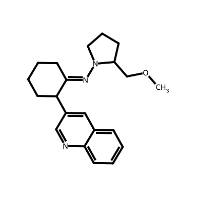 COCC1CCCN1N=C1CCCCC1c1cnc2ccccc2c1